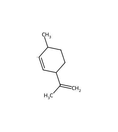 C=C(C)C1C=[C]C(C)CC1